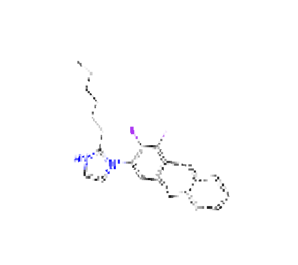 CCCCCCc1[nH]cc[n+]1-c1cc2cc3ccccc3cc2c(I)c1I